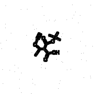 C#COC(C)C(C(=O)O)C(=O)OC(C)(C)C